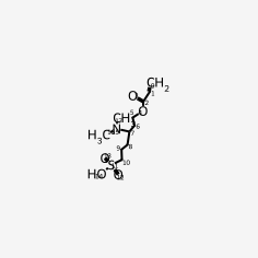 C=CC(=O)OCCC(CCCS(=O)(=O)O)N(C)C